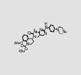 COc1cccc2c1N(C(=O)OC(C)(C)C)CC[C@H]2N1Cc2cnc(Nc3ccc(N4CCN(C)CC4)cc3)nc2N(C)C1=O